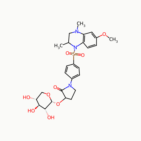 COc1ccc2c(c1)N(C)CC(C)N2S(=O)(=O)c1ccc(N2CCC(O[C@H]3OC[C@@H](O)[C@H](O)[C@H]3O)C2=O)cc1